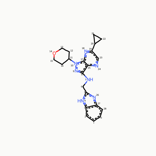 c1ccc2[nH]c(CNc3nn(C4CCOCC4)c4nc(C5CC5)cnc34)nc2c1